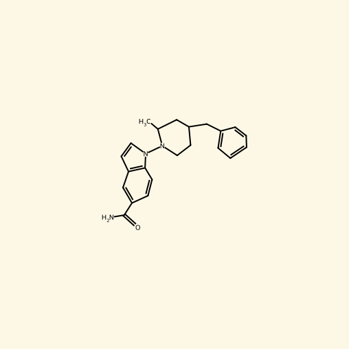 CC1CC(Cc2ccccc2)CCN1n1ccc2cc(C(N)=O)ccc21